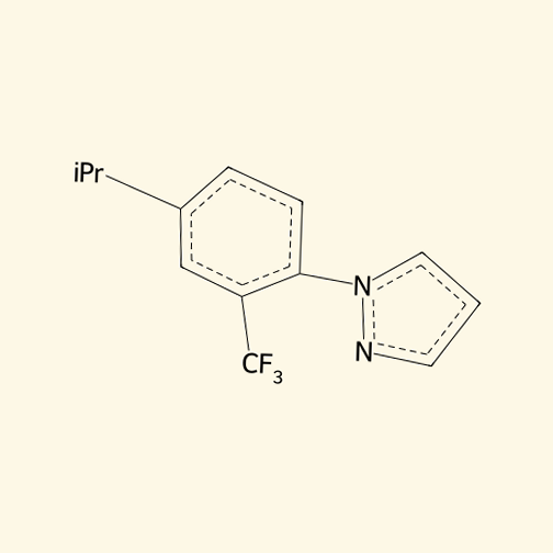 CC(C)c1ccc(-n2cccn2)c(C(F)(F)F)c1